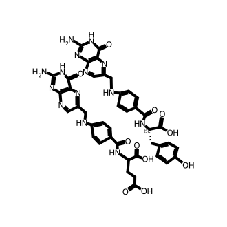 Nc1nc2ncc(CNc3ccc(C(=O)NC(CCC(=O)O)C(=O)O)cc3)nc2c(=O)[nH]1.Nc1nc2ncc(CNc3ccc(C(=O)N[C@@H](Cc4ccc(O)cc4)C(=O)O)cc3)nc2c(=O)[nH]1